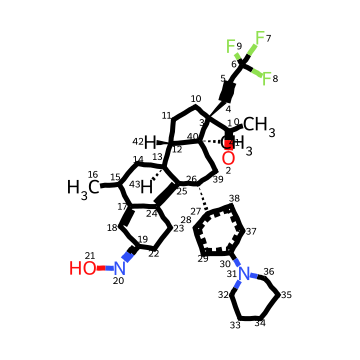 CC(=O)[C@@]1(C#CC(F)(F)F)CC[C@H]2[C@@H]3CC(C)C4=CC(=NO)CCC4=C3[C@@H](c3ccc(N4CCCCC4)cc3)C[C@@]21C